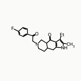 CCc1c(C)[nH]c2c1C(=O)C1CN(CC(=O)c3ccc(F)cc3)CCC1C2